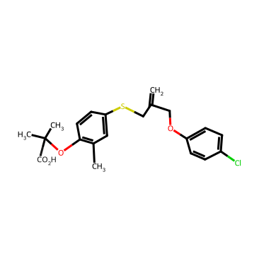 C=C(COc1ccc(Cl)cc1)CSc1ccc(OC(C)(C)C(=O)O)c(C)c1